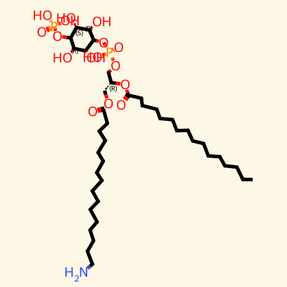 CCCCCCCCCCCCCCCC(=O)O[C@H](COC(=O)CCCCCCCCCCCCCCCN)COP(=O)(O)OC1C(O)[C@@H](O)C(OP(=O)(O)O)[C@@H](O)[C@H]1O